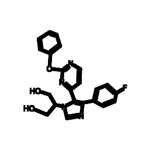 OCC(CO)n1cnc(-c2ccc(F)cc2)c1-c1ccnc(Oc2ccccc2)n1